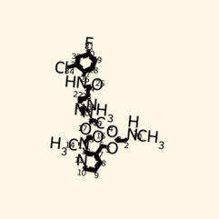 CNCC(=O)OCc1cccnc1N(C)C(=O)OC(C)n1ncc(C(=O)Nc2ccc(F)cc2Cl)n1